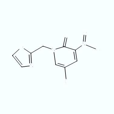 O=c1c([N+](=O)[O-])cc(Br)cn1Cc1ncco1